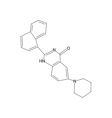 O=c1nc(-c2cccc3ccccc23)[nH]c2ccc(N3CCCCC3)cc12